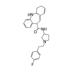 O=C(NC1CCN(CCc2ccc(F)cc2)C1)C1C=C2C=CCCC2Nc2ccccc21